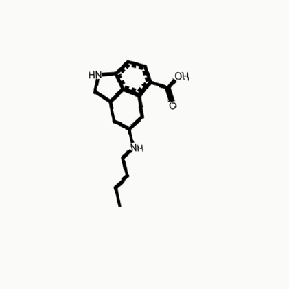 CCCCNC1Cc2c(C(=O)O)ccc3c2C(CN3)C1